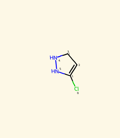 ClC1=C[C]NN1